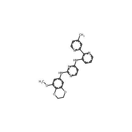 COc1cc(Nc2nccc(Nc3cccnc3-c3cc(C)ccn3)n2)cc2c1OCCO2